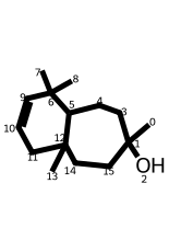 CC1(O)CCC2C(C)(C)C=CCC2(C)CC1